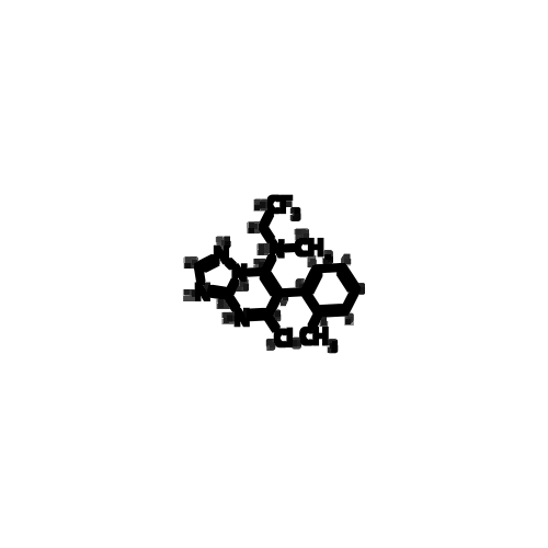 Cc1ccccc1-c1c(Cl)nc2ncnn2c1N(C)CC(F)(F)F